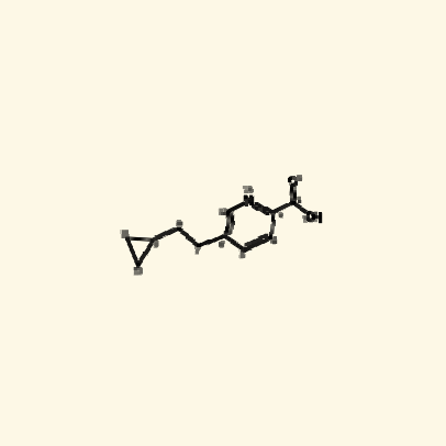 O=C(O)c1ccc(CCC2CC2)cn1